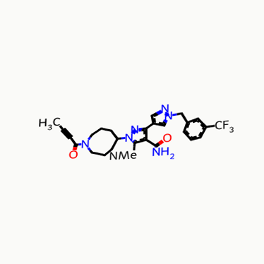 CC#CC(=O)N1CCCC(n2nc(-c3cnn(Cc4cccc(C(F)(F)F)c4)c3)c(C(N)=O)c2NC)CCC1